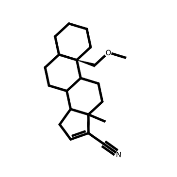 COC[C@]12CCCCC1CCC1C3CC=C(C#N)C3(C)CCC12